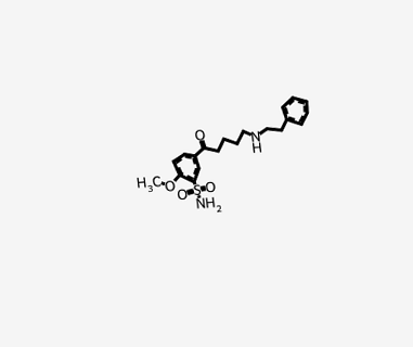 COc1ccc(C(=O)CCCCNCCc2ccccc2)cc1S(N)(=O)=O